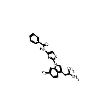 CC(C)Cc1cn(-c2nc(NC(=O)c3ccccc3)cs2)c2cc(Cl)ccc12